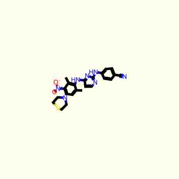 Cc1cc(N2CCSCC2)c([N+](=O)[O-])c(C)c1Nc1ccnc(Nc2ccc(C#N)cc2)n1